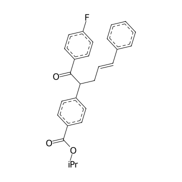 CC(C)OC(=O)c1ccc(C(CC=Cc2ccccc2)C(=O)c2ccc(F)cc2)cc1